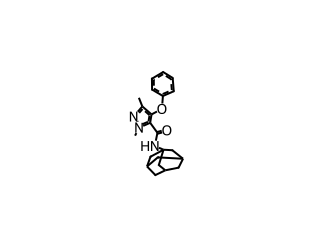 Cc1nn(C)c(C(=O)NC23CC4CC(CC(C4)C2)C3)c1Oc1ccccc1